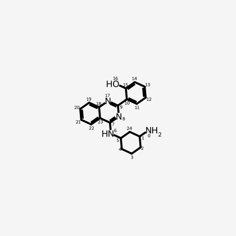 NC1CCCC(Nc2nc(-c3ccccc3O)nc3ccccc23)C1